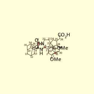 COc1cc(CNC(=O)C23CC4CC(C2)C(OC(=O)N2CCC5(CC2)CC(CC(=O)O)c2ccccc25)C(C4)C3)cc(OC)c1